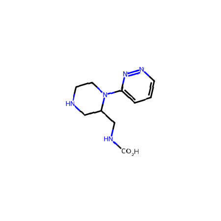 O=C(O)NCC1CNCCN1c1cccnn1